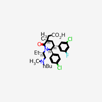 CCCCN(C)C[C@H](CC)N1C(=O)[C@@](C)(CC(=O)O)C[C@H](c2cc(F)cc(Cl)c2)[C@H]1c1ccc(Cl)cc1